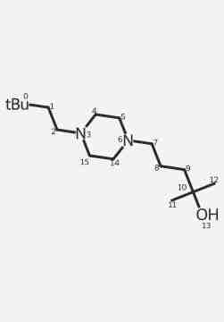 CC(C)(C)CCN1CCN(CCCC(C)(C)O)CC1